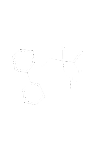 C[SiH2]OP(=O)(CC(C)C)C(=O)C(C)(C)C.c1ccc(-c2ccccc2)cc1